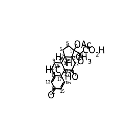 CC(=O)O[C@]1(C(=O)C(=O)O)CC[C@H]2[C@@H]3CCC4=CC(=O)C=C[C@]4(C)[C@H]3C(=O)C[C@@]21C